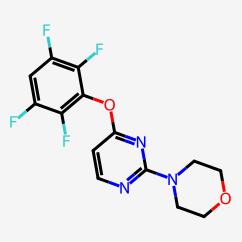 Fc1cc(F)c(F)c(Oc2ccnc(N3CCOCC3)n2)c1F